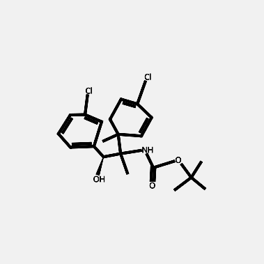 CC(C)(C)OC(=O)NC(C)([C@@H](O)c1cccc(Cl)c1)C1(C)C=CC(Cl)=CC1